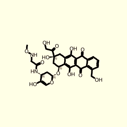 CONCC(=O)N[C@@H]1C[C@H](O[C@H]2C[C@](O)(C(=O)CO)Cc3c(O)c4c(c(O)c32)C(=O)c2c(CO)cccc2C4=O)OC=C1O